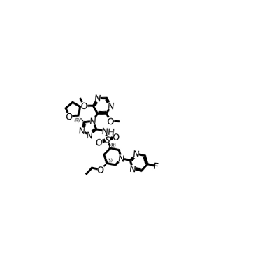 CCO[C@H]1C[C@@H](S(=O)(=O)Nc2nnc([C@H]3CCCO3)n2-c2c(OC)ncnc2OC)CN(c2ncc(F)cn2)C1